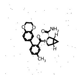 Cc1ccc(-c2ccc3c(c2)OCCO3)c(C(=O)N2C[C@H]3C[C@H]3[C@H]2C(N)=O)c1